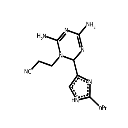 CCCc1nc(C2N=C(N)N=C(N)N2CCC#N)c[nH]1